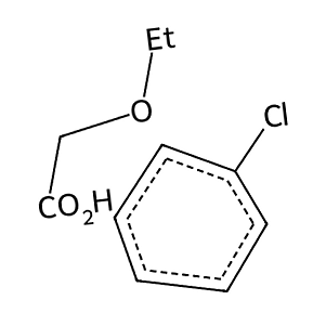 CCOCC(=O)O.Clc1ccccc1